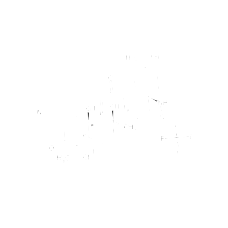 CC1(C)CC[C@]2(NSCC(F)(F)F)CC[C@]3(C)C(C(=O)C=C4[C@@]5(C)C=C(C#N)C(=O)C(C)(C)[C@@H]5CC[C@]43C)C2C1